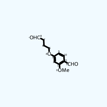 COc1cc(OCCC[C]=O)ccc1C=O